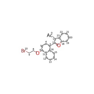 CC(=O)c1c(-c2ccc(OCCBr)c3ccccc23)oc2ccccc12